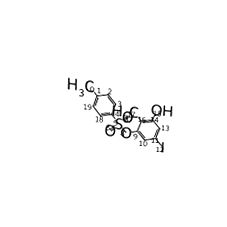 Cc1ccc(S(=O)(=O)Oc2cc(I)cc(O)c2C)cc1